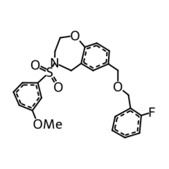 COc1cccc(S(=O)(=O)N2CCOc3ccc(COCc4ccccc4F)cc3C2)c1